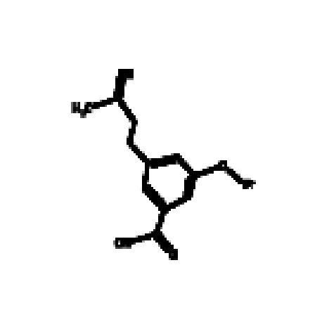 B=C(C)CCc1cc(OC(C)C)cc(C(=O)N=O)c1